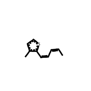 C/C=C\C=C/c1sccc1C